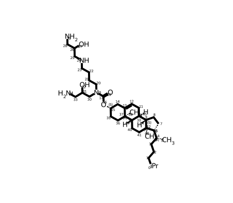 CC(C)CCC[C@@H](C)[C@H]1CC[C@H]2[C@@H]3CC=C4C[C@@H](OC(=O)N(CCCCNCC(O)CN)CC(O)CN)CC[C@]4(C)[C@H]3CC[C@]12C